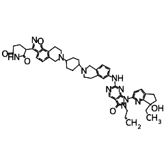 C=CCn1c(=O)c2cnc(Nc3ccc4c(c3)CCN(C3CCC(N5CCc6c(ccc7c(C8CCC(=O)NC8=O)noc67)C5)CC3)C4)nc2n1-c1ccc2c(n1)[C@@](O)(CC)CC2